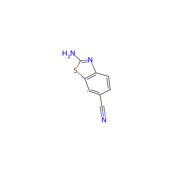 N#Cc1[c]c2sc(N)nc2cc1